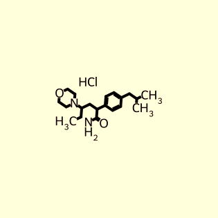 CCC(CC(C(N)=O)c1ccc(CC(C)C)cc1)N1CCOCC1.Cl